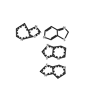 C1=CC2=NCSC2=C[N]1.[c]1ccnc2scnc12.[c]1nc2cccnc2s1.[c]1nccc2ncsc12